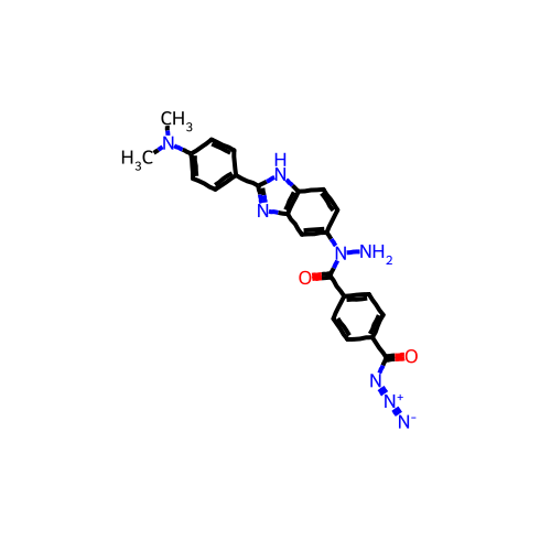 CN(C)c1ccc(-c2nc3cc(N(N)C(=O)c4ccc(C(=O)N=[N+]=[N-])cc4)ccc3[nH]2)cc1